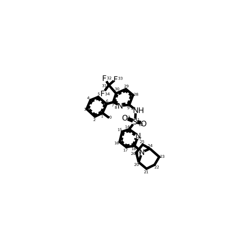 Cc1ccccc1-c1nc(NS(=O)(=O)c2cccc(N3C4CCCC3CC4)n2)ccc1C(F)(F)F